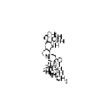 [2H]C([2H])([2H])Oc1cc2c(cc1OC)CCN1CC(C([2H])([2H])C([2H])(C([2H])([2H])[2H])C([2H])([2H])C)C(=O)CC21